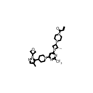 C=CC(=O)N1CCN([C@@H]2CN(c3cc(N4CCC(c5c(C)cnn5C5COC5)CC4)nc(C(F)(F)F)n3)[C@H]2C)CC1